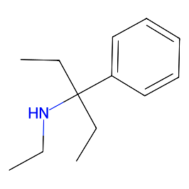 CCNC(CC)(CC)c1ccccc1